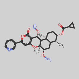 C[C@@H]1C2C[C@H](ON)[C@@]3(C)Oc4cc(-c5cccnc5)oc(=O)c4[C@H](ON)C3[C@@]2(C)CC[C@@H]1OC(=O)C1CC1